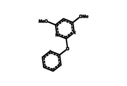 COc1cc(OC)nc(Oc2[c]cccc2)n1